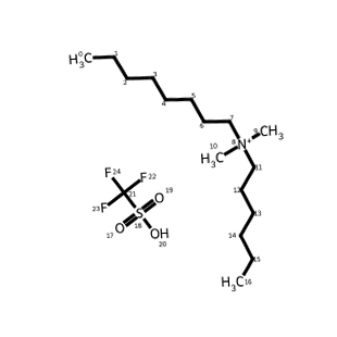 CCCCCCCC[N+](C)(C)CCCCCC.O=S(=O)(O)C(F)(F)F